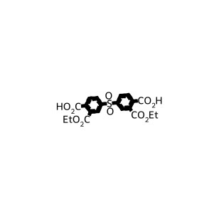 CCOC(=O)c1cc(S(=O)(=O)c2ccc(C(=O)O)c(C(=O)OCC)c2)ccc1C(=O)O